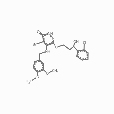 COc1ccc(CNc2c(OCCC(O)c3ccccc3Cl)n[nH]c(=O)c2Br)cc1OC